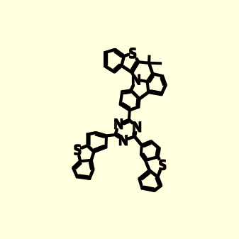 CC1(C)c2sc3ccccc3c2-n2c3ccc(-c4nc(-c5ccc6sc7ccccc7c6c5)nc(-c5ccc6sc7ccccc7c6c5)n4)cc3c3cccc1c32